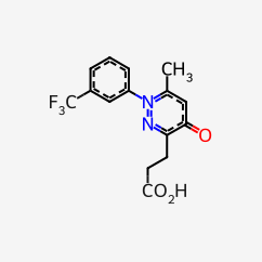 Cc1cc(=O)c(CCC(=O)O)nn1-c1cccc(C(F)(F)F)c1